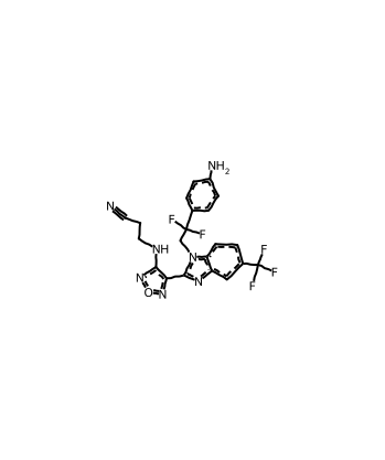 N#CCCNc1nonc1-c1nc2cc(C(F)(F)F)ccc2n1CC(F)(F)c1ccc(N)cc1